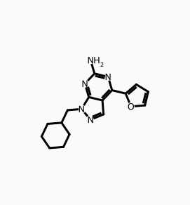 Nc1nc(-c2ccco2)c2cnn(CC3CCCCC3)c2n1